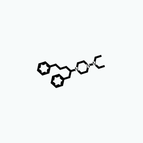 CCN(CC)N1CCN(C(CCCc2ccccc2)Cc2ccccc2)CC1